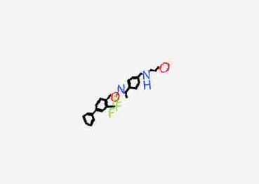 C/C(=N\OCc1ccc(-c2ccccc2)cc1C(F)(F)F)c1ccc(CNCCC=O)cc1